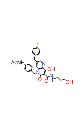 CC(=O)Nc1ccc(Cn2c(=O)c(C(=O)NCCCCO)c(O)c3ncc(Cc4ccc(F)cc4)cc32)cc1